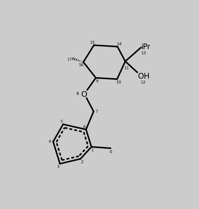 Cc1ccccc1COC1CC(O)(C(C)C)CC[C@H]1C